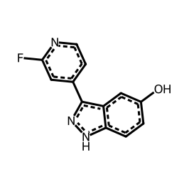 Oc1ccc2[nH]nc(-c3ccnc(F)c3)c2c1